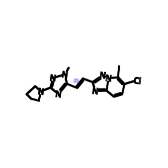 Cc1c(Cl)ccc2nc(/C=C/c3nc(N4CCCC4)nn3C)nn12